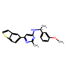 COc1cccc([C@H](C)Nc2cc(-c3ccc4sccc4c3)nc(C)n2)c1